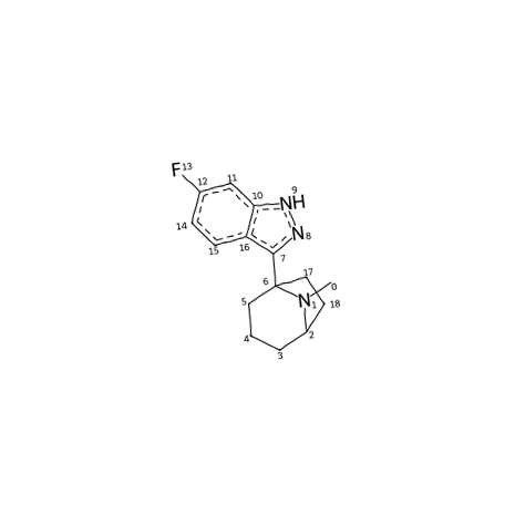 CN1C2CCCC1(c1n[nH]c3cc(F)ccc13)CC2